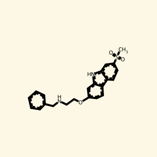 CS(=O)(=O)c1ccc2c(c1)[nH]c1cc(OCCNCc3ccccc3)ccc12